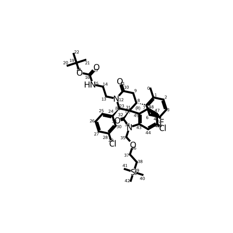 Cc1ccc(F)cc1[C@H]1CC(=O)N(CCNC(=O)OC(C)(C)C)[C@H](c2cccc(Cl)c2)[C@]12C(=O)N(COCC[Si](C)(C)C)c1cc(Cl)ccc12